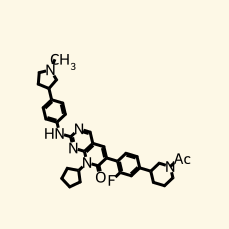 CC(=O)N1CCCC(c2ccc(-c3cc4cnc(Nc5ccc(C6CCN(C)C6)cc5)nc4n(C4CCCC4)c3=O)c(F)c2)C1